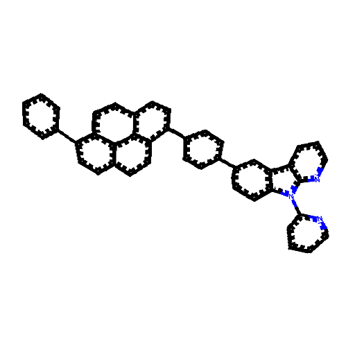 c1ccc(-c2ccc3ccc4c(-c5ccc(-c6ccc7c(c6)c6cccnc6n7-c6ccccn6)cc5)ccc5ccc2c3c54)cc1